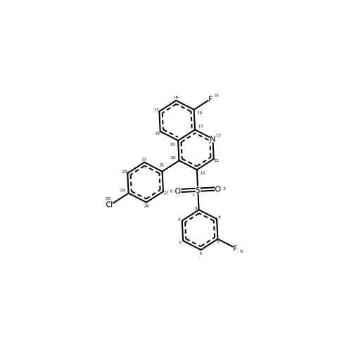 O=S(=O)(c1cccc(F)c1)c1cnc2c(F)cccc2c1-c1ccc(Cl)cc1